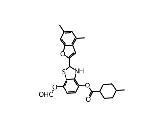 Cc1cc(C)c2cc(C3Nc4c(OC(=O)C5CCC(C)CC5)ccc(OC=O)c4S3)oc2c1